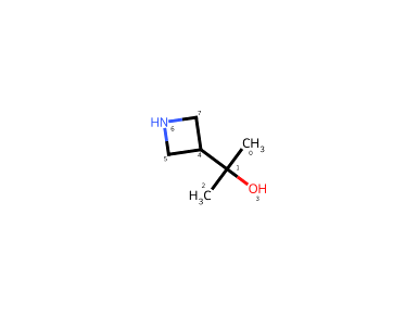 CC(C)(O)C1CNC1